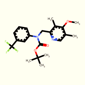 COc1c(C)cnc(CN(C(=O)OC(C)(C)C)c2cccc(C(F)(F)F)c2)c1C